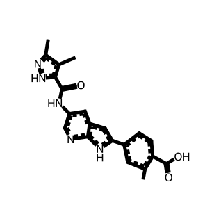 Cc1cc(-c2cc3cc(NC(=O)c4[nH]nc(C)c4C)cnc3[nH]2)ccc1C(=O)O